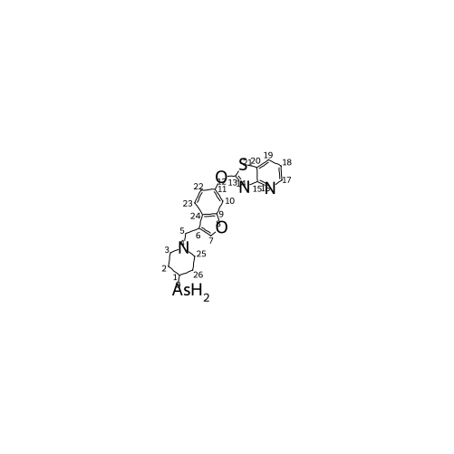 [AsH2]C1CCN(Cc2coc3cc(Oc4nc5ncccc5s4)ccc23)CC1